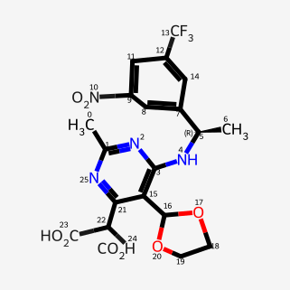 Cc1nc(N[C@H](C)c2cc([N+](=O)[O-])cc(C(F)(F)F)c2)c(C2OCCO2)c(C(C(=O)O)C(=O)O)n1